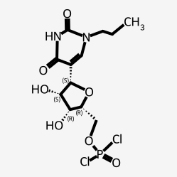 CCCn1cc([C@@H]2O[C@H](COP(=O)(Cl)Cl)[C@H](O)[C@@H]2O)c(=O)[nH]c1=O